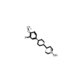 CCC[Si@H]1CC[C@H]([C@H]2CC[C@H](c3ccc(OC(F)(F)F)c(F)c3)CC2)CC1